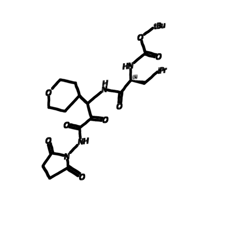 CC(C)C[C@H](NC(=O)OC(C)(C)C)C(=O)NC(C(=O)C(=O)NN1C(=O)CCC1=O)C1CCOCC1